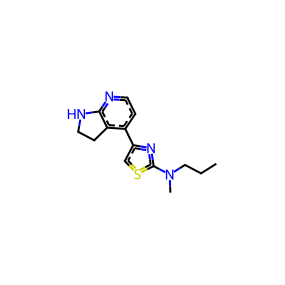 CCCN(C)c1nc(-c2ccnc3c2CCN3)cs1